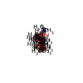 C=C(C)C(=O)OCCC[Si](C)(C)O[Si](C)(C)O[Si](C)(C)O[Si](C)(C)O[Si](C)(C)O[Si](C)(C)O[Si](C)(C)O[Si](C)(C)O[Si](C)(C)O[Si](C)(C)O[Si](C)(C)O[Si](C)(C)CCCOP(=O)(O)OCC[N+](C)(C)CCCC